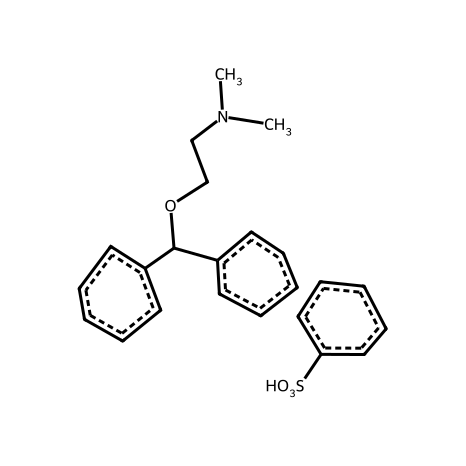 CN(C)CCOC(c1ccccc1)c1ccccc1.O=S(=O)(O)c1ccccc1